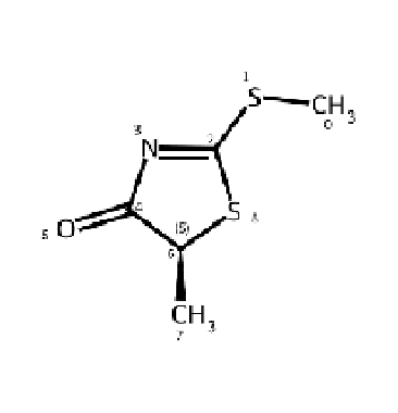 CSC1=NC(=O)[C@H](C)S1